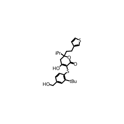 CC(C)C1(CCc2ccsc2)CC(O)=C(Sc2ccc(CO)cc2C(C)(C)C)C(=O)O1